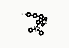 N#Cc1ccc(-c2ccc(-c3cccc4c3-c3ccc(-c5nc(-c6ccccc6)nc(-c6ccccc6)n5)cc3C43c4ccccc4Oc4ccccc43)cc2)cc1